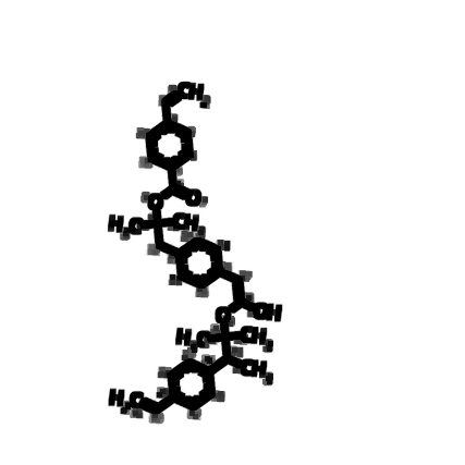 C=Cc1ccc(C(=O)OC(C)(C)Cc2ccc(C=C(O)OC(C)(C)C(C)c3ccc(C=C)cc3)cc2)cc1